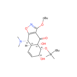 CCCCOc1noc2c1C(=O)[C@@]1(O)[C@H](O[Si](C)(C)C(C)(C)C)[C@H](O)C=C[C@H]1[C@@H]2N(C)C